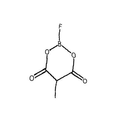 CC1C(=O)OB(F)OC1=O